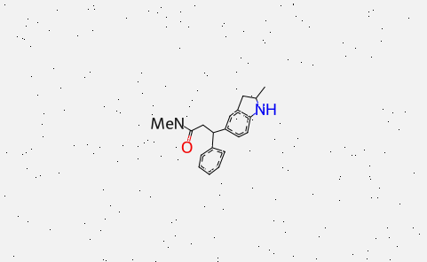 CNC(=O)CC(c1ccccc1)c1ccc2c(c1)CC(C)N2